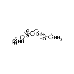 Nc1ccc(C(O)CNCC2CCc3cc(S(=O)(=O)Nc4ccc(Nc5nncs5)cc4)ccc3O2)cn1